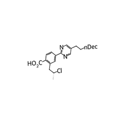 CCCCCCCCCCCCc1cnc(-c2ccc(C(=O)O)c(C[C@@H](C)Cl)c2)nc1